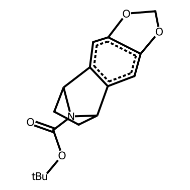 CC(C)(C)OC(=O)N1C2CCC1c1cc3c(cc12)OCO3